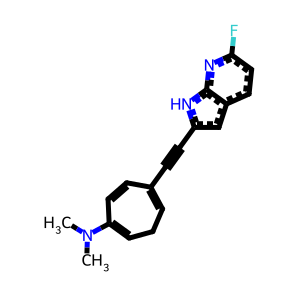 CN(C)C1=CCC=C(C#Cc2cc3ccc(F)nc3[nH]2)C=C1